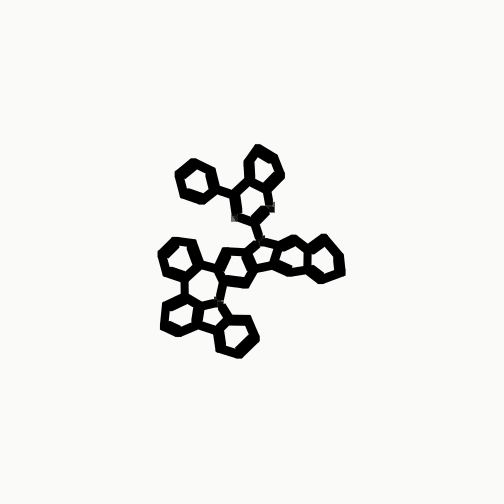 c1ccc(-c2nc(-n3c4cc5c(cc4c4cc6ccccc6cc43)-n3c4ccccc4c4cccc(c43)-c3ccccc3-5)nc3ccccc23)cc1